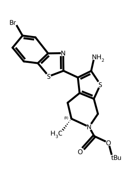 C[C@@H]1Cc2c(sc(N)c2-c2nc3cc(Br)ccc3s2)CN1C(=O)OC(C)(C)C